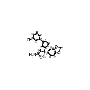 NC1=NC(c2cccc(-c3cccc(Cl)c3)c2)(c2ccc3c(c2)OCO3)CO1